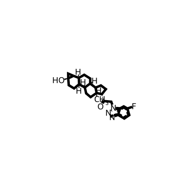 C[C@]12CC[C@@H]3[C@H]4CC[C@]5(O)CC5[C@H]4CC[C@H]3[C@@H]1CC[C@@H]2C(=O)Cn1nnc2ccc(F)cc21